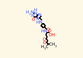 CC(C)C(=O)CC(=O)CCC(NC(=O)c1ccc(NCc2cnc3[nH]c(N)nc(=O)c3n2)cc1)C(=O)O